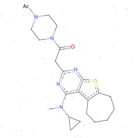 CC(=O)N1CCN(C(=O)Cc2nc(N(C)C3CC3)c3c4c(sc3n2)CCCCC4)CC1